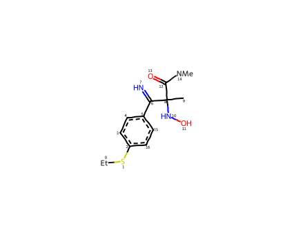 CCSc1ccc(C(=N)C(C)(NO)C(=O)NC)cc1